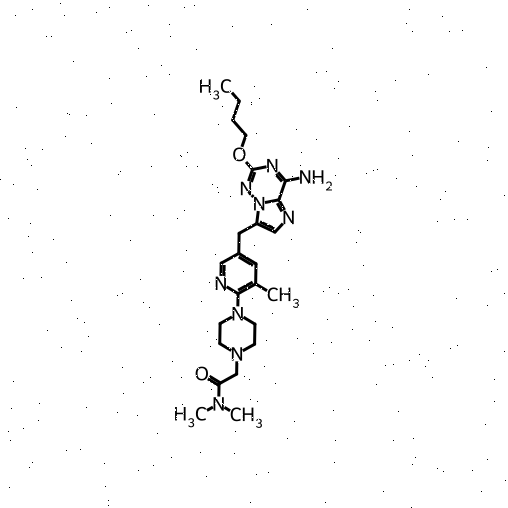 CCCCOc1nc(N)c2ncc(Cc3cnc(N4CCN(CC(=O)N(C)C)CC4)c(C)c3)n2n1